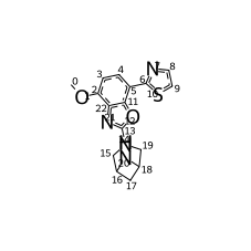 COc1ccc(-c2nccs2)c2oc(N3CC4CC(C3)N4)nc12